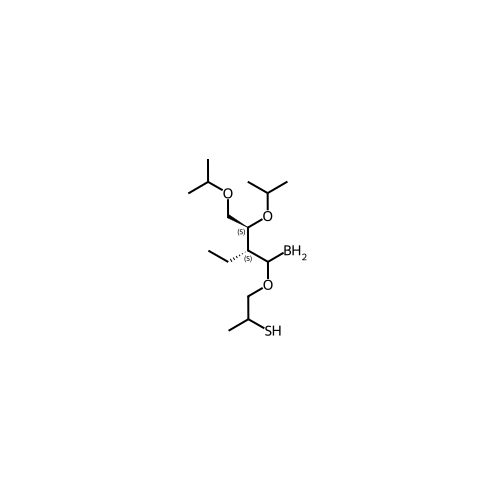 BC(OCC(C)S)[C@H](CC)[C@@H](COC(C)C)OC(C)C